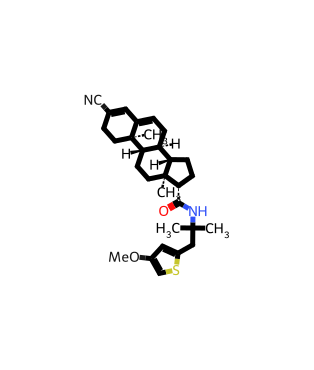 COc1csc(CC(C)(C)NC(=O)[C@H]2CC[C@H]3[C@@H]4CC=C5C=C(C#N)CC[C@]5(C)[C@H]4CC[C@]23C)c1